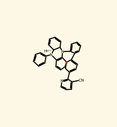 N#Cc1cccnc1C1=CC=C(c2ccccc2N2C3=C(C=CCC3)N(c3ccccc3)[C@H]3C=CC=CC32)CC1